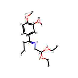 CCCC(=NCC(OCC)OCC)c1ccc(OC)c(OC)c1